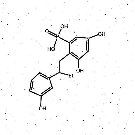 CCC(Cc1c(O)cc(O)cc1P(=O)(O)O)c1cccc(O)c1